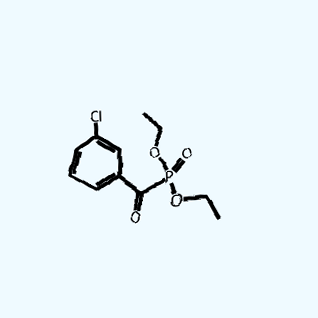 CCOP(=O)(OCC)C(=O)c1cccc(Cl)c1